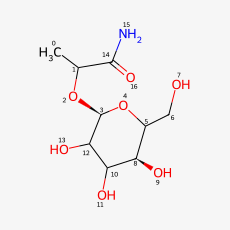 CC(O[C@H]1OC(CO)[C@@H](O)C(O)C1O)C(N)=O